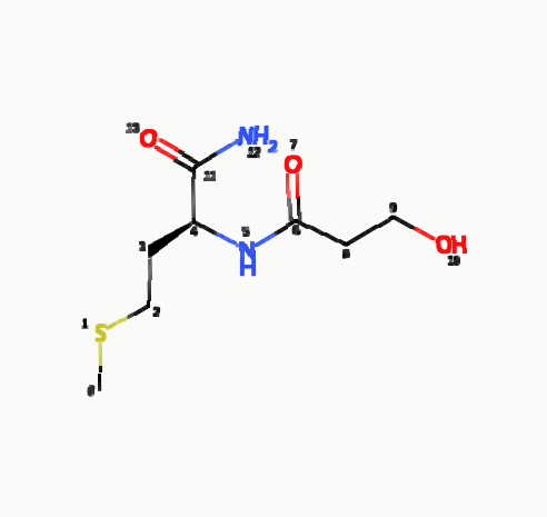 CSCC[C@H](NC(=O)CCO)C(N)=O